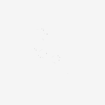 NC(=O)C=Cc1c[nH]c2ncc(-c3ccc(OCCC(F)(F)F)nc3)cc12